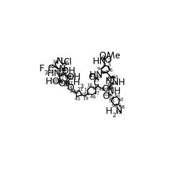 COC(=O)Nc1ccc2c(c1)NC(=O)CC(C1CCC(CC3CC(COC[C@@]4(C)O[C@H](O)[C@H](Nc5nc(Cl)ncc5C(F)(F)F)[C@@H](O)[C@H]4O)C3)CC1)CC[C@H](NC(=O)[C@H]1CC[C@H](CN)CC1)c1nc-2c[nH]1